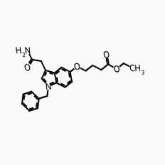 CCOC(=O)CCCOc1ccc2c(c1)c(CC(N)=O)cn2Cc1ccccc1